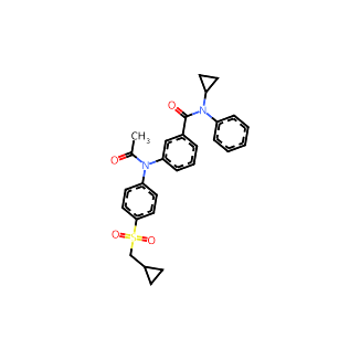 CC(=O)N(c1ccc(S(=O)(=O)CC2CC2)cc1)c1cccc(C(=O)N(c2ccccc2)C2CC2)c1